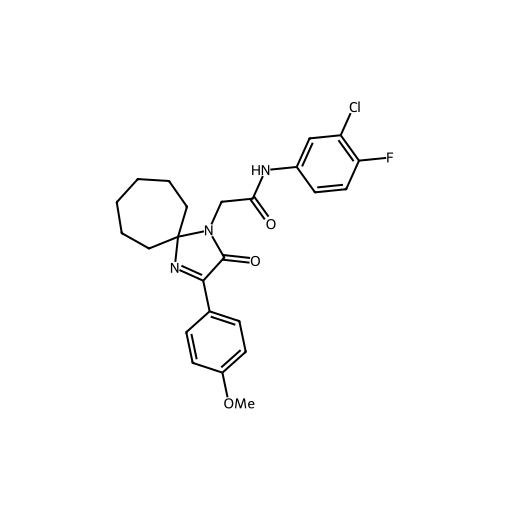 COc1ccc(C2=NC3(CCCCCC3)N(CC(=O)Nc3ccc(F)c(Cl)c3)C2=O)cc1